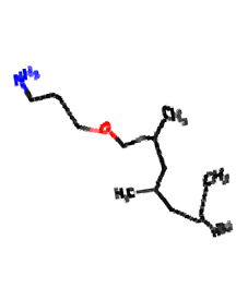 CCCCC(C)CC(C)CC(C)COCCCN